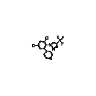 FC(F)(F)c1cn(-c2c(Cl)cc(Cl)cc2-c2ccncc2)nn1